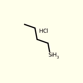 CCCC[SiH3].Cl